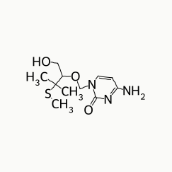 CSC(C)(C)C(CO)OCn1ccc(N)nc1=O